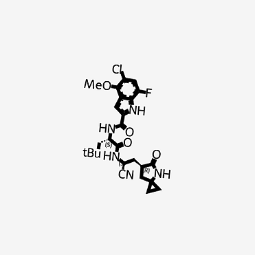 COc1c(Cl)cc(F)c2[nH]c(C(=O)N[C@@H](CC(C)(C)C)C(=O)N[C@H](C#N)C[C@@H]3CC4(CC4)NC3=O)cc12